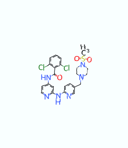 CS(=O)(=O)N1CCN(Cc2ccc(Nc3cc(NC(=O)c4c(Cl)cccc4Cl)ccn3)nc2)CC1